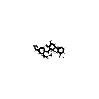 Cc1cc2c(oc3c(C#N)cccc32)c(-c2c3ccc(CC(C)C)cc3cc[n+]2C)c1C